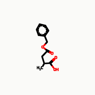 CC(CC(=O)OCc1ccccc1)C(=O)O